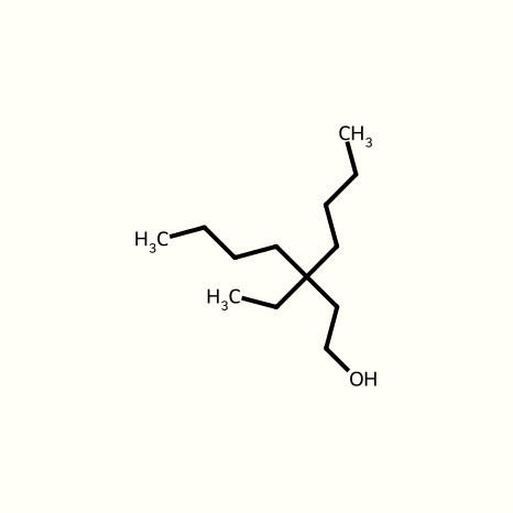 CCCCC(CC)(CCO)CCCC